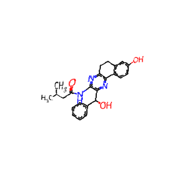 CC(C)CC(=O)Nc1nc2c(nc1C(O)c1ccccc1)-c1ccc(O)cc1CC2